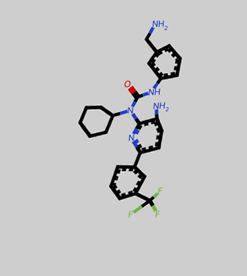 NCc1cccc(NC(=O)N(c2nc(-c3cccc(C(F)(F)F)c3)ccc2N)C2CCCCC2)c1